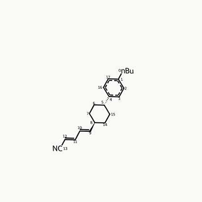 CCCCc1ccc([C@H]2CC[C@H](/C=C/C=C/C#N)CC2)cc1